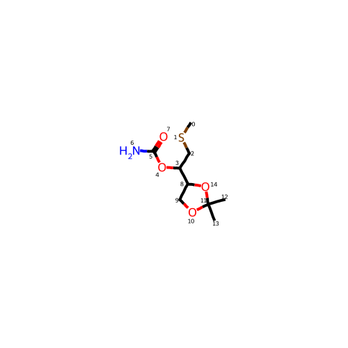 CSCC(OC(N)=O)C1COC(C)(C)O1